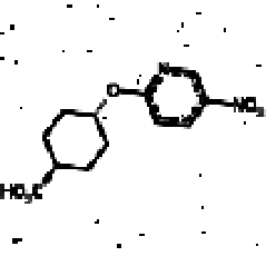 O=C(O)[C@H]1CC[C@H](Oc2ccc([N+](=O)[O-])cn2)CC1